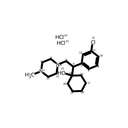 CN1CCN(CC(c2cccc(Cl)c2)C2(O)CCCCC2)CC1.Cl.Cl